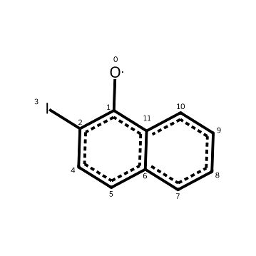 [O]c1c(I)ccc2ccccc12